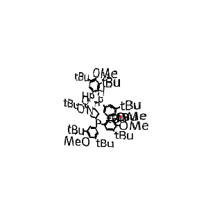 COc1c(C(C)(C)C)cc(PC(Pc2cc(C(C)(C)C)c(OC)c(C(C)(C)C)c2)[C@@H]2C[C@H](P(c3cc(C(C)(C)C)c(OC)c(C(C)(C)C)c3)c3cc(C(C)(C)C)c(OC)c(C(C)(C)C)c3)CN2C(=O)OC(C)(C)C)cc1C(C)(C)C